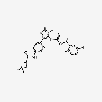 Cc1ccc(F)cc1C(C)OC(=O)Nc1c(-c2ccc(NC(=O)C3CC(F)(F)C3)cn2)nnn1C